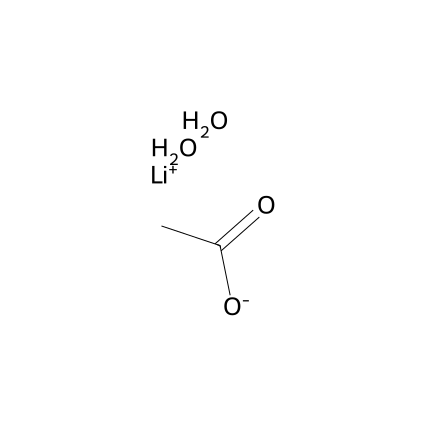 CC(=O)[O-].O.O.[Li+]